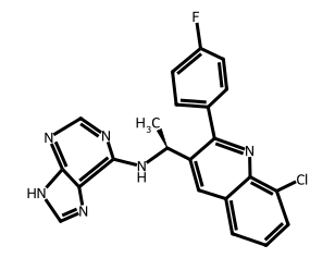 C[C@H](Nc1ncnc2[nH]cnc12)c1cc2cccc(Cl)c2nc1-c1ccc(F)cc1